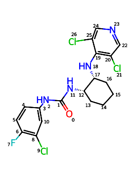 O=C(Nc1ccc(F)c(Cl)c1)N[C@H]1CCCC[C@H]1Nc1c(Cl)cncc1Cl